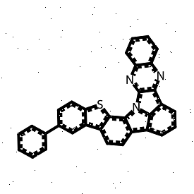 c1ccc(-c2ccc3sc4c(ccc5c6cccc7c8nc9ccccc9nc8n(c67)c54)c3c2)cc1